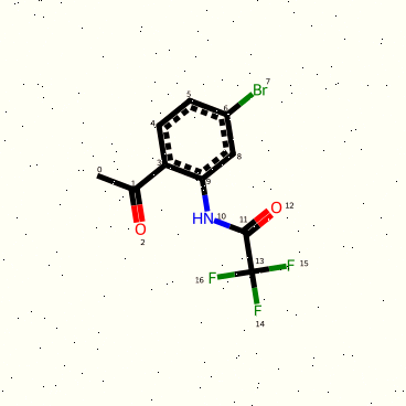 CC(=O)c1ccc(Br)cc1NC(=O)C(F)(F)F